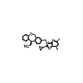 Cc1cc(C)c2nc(C3CC3)n(Cc3ccc4c(c3)COc3ccccc3/C4=C\C#N)c2n1